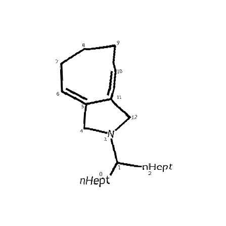 CCCCCCCC(CCCCCCC)N1CC2=CCCCC=C2C1